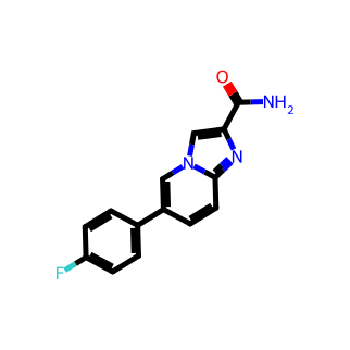 NC(=O)c1cn2cc(-c3ccc(F)cc3)ccc2n1